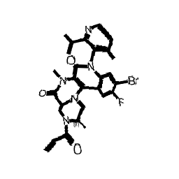 C=CC(=O)N1CC2C(=O)N(C)c3c(c4cc(F)c(Br)cc4n(-c4c(C)ccnc4C(C)C)c3=O)N2C[C@H]1C